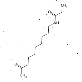 CCC(=O)NCCCCCCCCC(C)=O